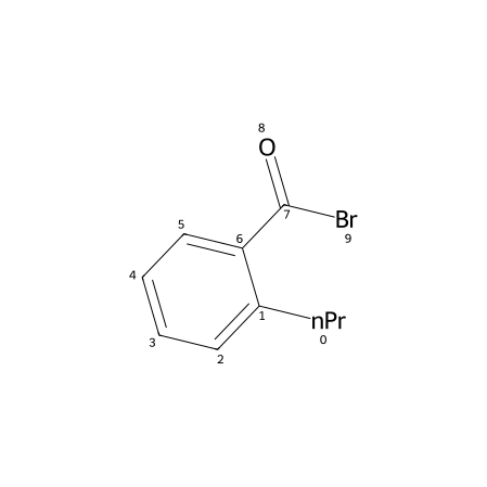 CCCc1ccccc1C(=O)Br